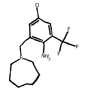 Nc1c(CN2CCCCCC2)cc(Cl)cc1C(F)(F)F